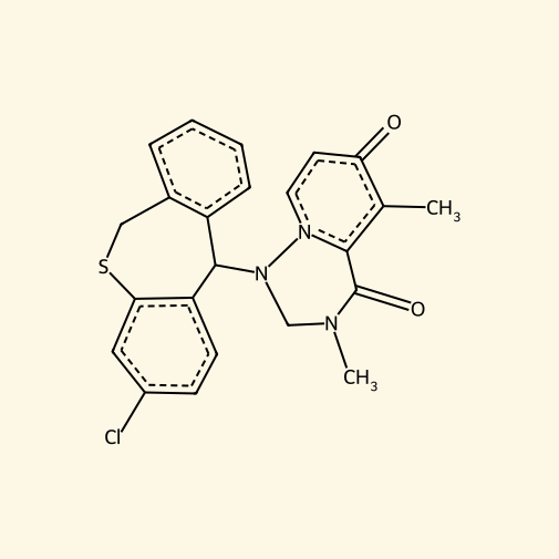 Cc1c2n(ccc1=O)N(C1c3ccccc3CSc3cc(Cl)ccc31)CN(C)C2=O